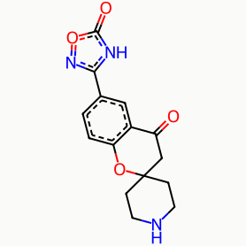 O=C1CC2(CCNCC2)Oc2ccc(-c3noc(=O)[nH]3)cc21